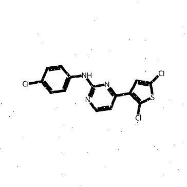 Clc1ccc(Nc2nccc(-c3cc(Cl)sc3Cl)n2)cc1